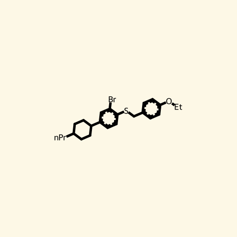 CCCC1CCC(c2ccc(SCc3ccc(OCC)cc3)c(Br)c2)CC1